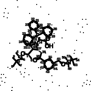 C[C@@H](O[Si](C)(C)C(C)(C)C)[C@H]1C(=O)N(C(C(=O)O)=P(c2ccccc2)(c2ccccc2)c2ccccc2)[C@@H]1CC(=O)c1cccc(CO[Si](C)(C)C(C)(C)C)c1